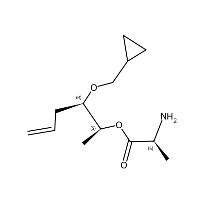 C=CC[C@@H](OCC1CC1)[C@H](C)OC(=O)[C@H](C)N